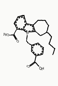 CCCCC1CCCc2c(n(Cc3cccc(C(=O)O)c3)c3c(C(=O)O)cccc23)C1